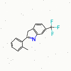 Cc1ccccc1C1=Nc2cc(C(F)(F)F)ccc2C1